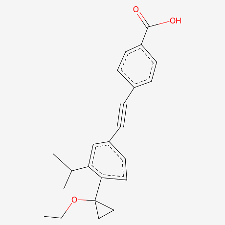 CCOC1(c2ccc(C#Cc3ccc(C(=O)O)cc3)cc2C(C)C)CC1